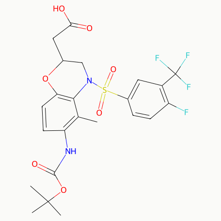 Cc1c(NC(=O)OC(C)(C)C)ccc2c1N(S(=O)(=O)c1ccc(F)c(C(F)(F)F)c1)CC(CC(=O)O)O2